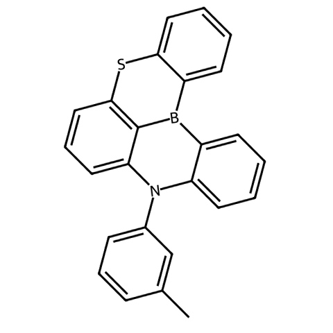 Cc1cccc(N2c3ccccc3B3c4ccccc4Sc4cccc2c43)c1